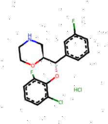 Cl.Fc1cccc([C@H](Oc2c(F)cccc2Cl)[C@@H]2CNCCO2)c1